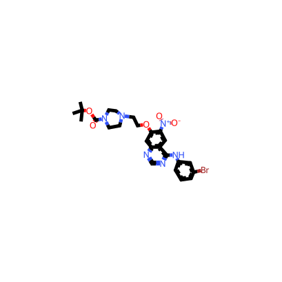 CC(C)(C)OC(=O)N1CCN(CCOc2cc3ncnc(Nc4cccc(Br)c4)c3cc2[N+](=O)[O-])CC1